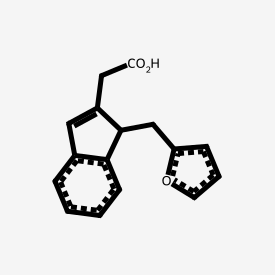 O=C(O)CC1=Cc2ccccc2C1Cc1ccco1